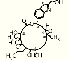 CCCC1C(=O)C(C)(C)[C@@H](O)CC(=O)O[C@H](c2ccc3sc(CO)nc3c2)C[C@@H]2O[C@]2(C)CCC[C@H](C)C1O